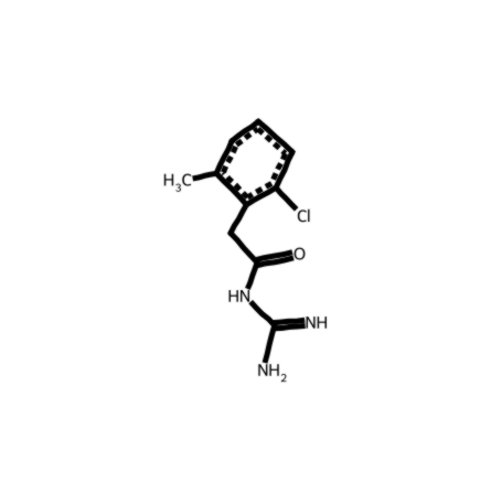 Cc1cccc(Cl)c1CC(=O)NC(=N)N